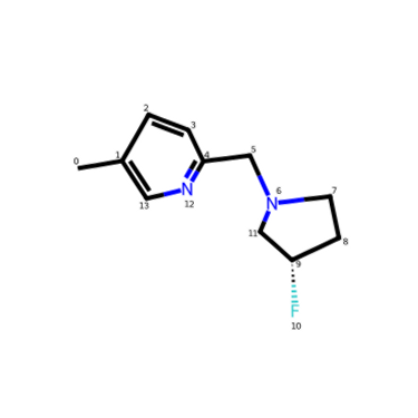 Cc1ccc(CN2CC[C@H](F)C2)nc1